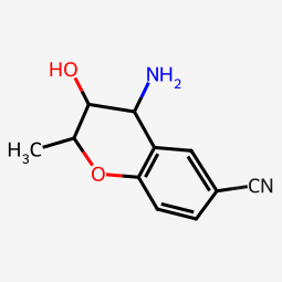 CC1Oc2ccc(C#N)cc2C(N)C1O